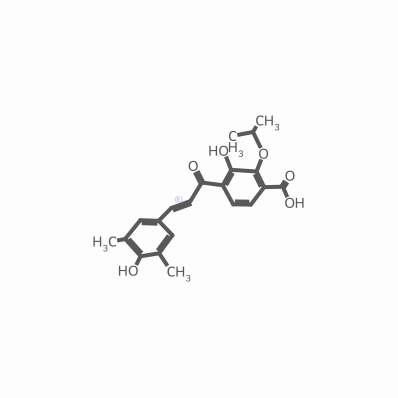 Cc1cc(/C=C/C(=O)c2ccc(C(=O)O)c(OC(C)C)c2O)cc(C)c1O